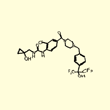 O=C(NCC1(O)CC1)Nc1ccc(C(=O)N2CCN(Cc3ccc(C(O)(C(F)(F)F)C(F)(F)F)cc3)CC2)cc1Cl